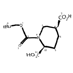 CC(C)(C)OC(=O)N1C[C@@H](C(=O)O)CC[C@H]1C(=O)O